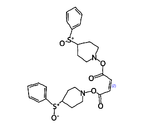 O=C(/C=C\C(=O)ON1CCC([S+]([O-])c2ccccc2)CC1)ON1CCC([S+]([O-])c2ccccc2)CC1